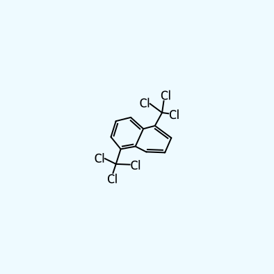 ClC(Cl)(Cl)c1cccc2c(C(Cl)(Cl)Cl)cccc12